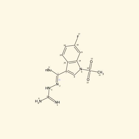 CCCC/C(=N\NC(=N)N)c1cn(S(C)(=O)=O)c2cc(F)ccc12